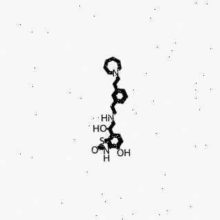 O=c1[nH]c2c(O)ccc([C@@H](O)CNCCc3cccc(CCN4CCCCCC4)c3)c2s1